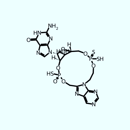 Nc1nc2c(ncn2[C@@H]2O[C@@H]3COP(=S)(S)OCCn4c(nc5cncnc54)COP(=O)(S)O[C@@H]2[C@@H]3O)c(=O)[nH]1